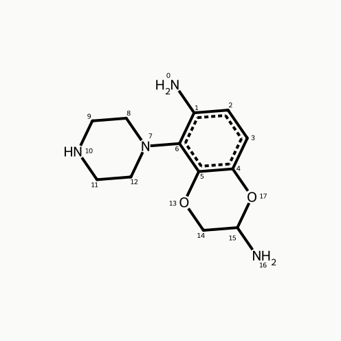 Nc1ccc2c(c1N1CCNCC1)OCC(N)O2